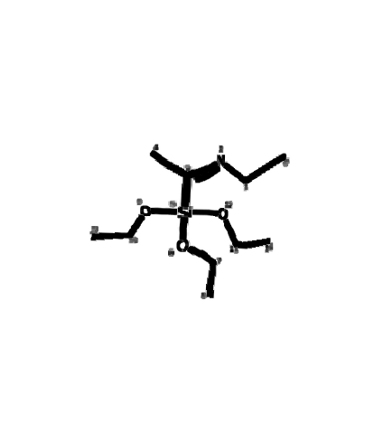 CCN=C(C)[Si](OCC)(OCC)OCC